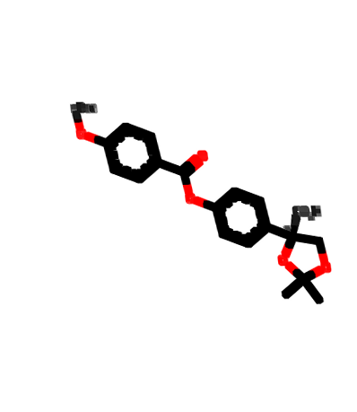 CCCCCCCCCCOc1ccc(C(=O)Oc2ccc([C@]3(C(=O)O)COC(C)(C)O3)cc2)cc1